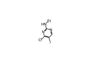 CCNc1ncc(I)c(Cl)n1